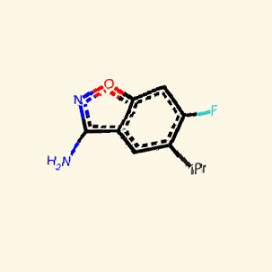 CC(C)c1cc2c(N)noc2cc1F